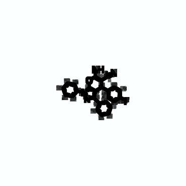 N#CC1=C(N)Oc2c(c(-c3ccccc3)nn2-c2ccccc2)C1c1ccc(F)cc1